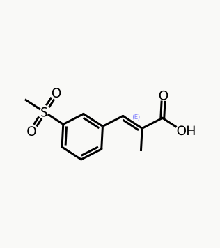 C/C(=C\c1cccc(S(C)(=O)=O)c1)C(=O)O